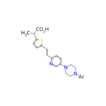 CC(=O)N1CCN(c2ccc(/C=C/c3ccc(C(C)C(=O)O)s3)nc2)CC1